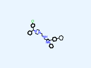 Clc1ccc(C(c2ccccc2)N2CCN(CCNCc3cc(-c4ccc(C5CCCCC5)cc4)n(-c4ccccc4)n3)CC2)cc1